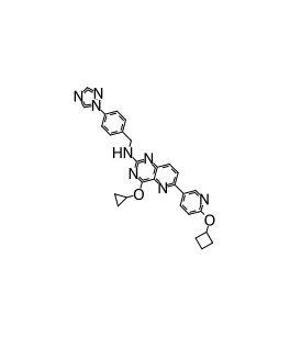 c1ncn(-c2ccc(CNc3nc(OC4CC4)c4nc(-c5ccc(OC6CCC6)nc5)ccc4n3)cc2)n1